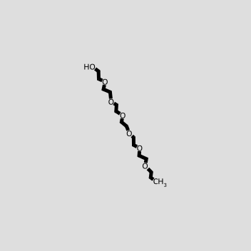 CCCOCCOCCOCCOCCOCCOCCO